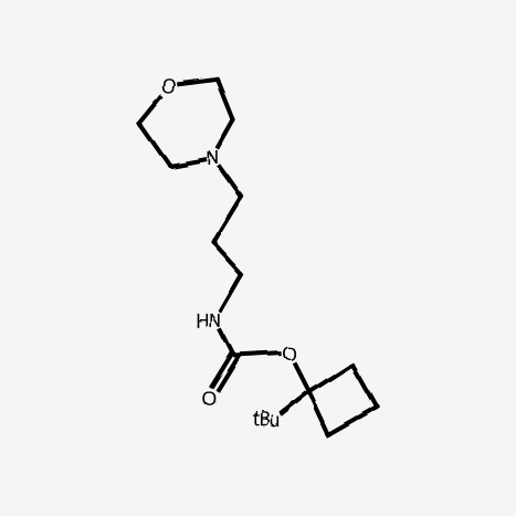 CC(C)(C)C1(OC(=O)NCCCN2CCOCC2)CCC1